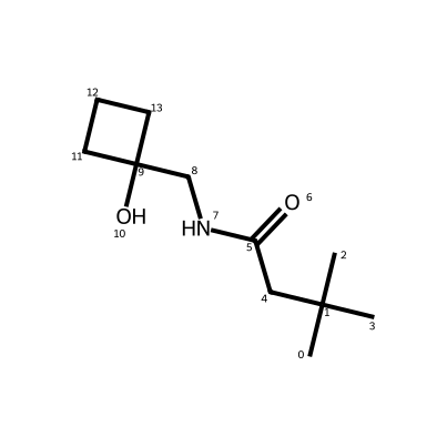 CC(C)(C)CC(=O)NCC1(O)CCC1